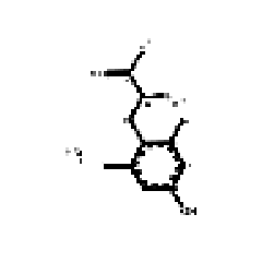 Br.Cc1cc(O)cc(C)c1C[C@H](N)C(=O)O